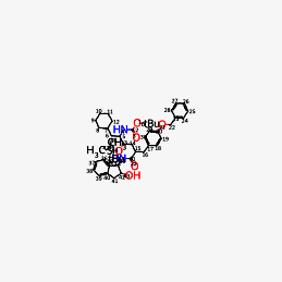 CC(C)(C)OC(=O)NC(CC1CCCCC1)C(CC(Cc1ccc(OCc2ccccc2)cc1)C(=O)N[C@H]1c2ccccc2C[C@@H]1O)O[Si](C)(C)C(C)(C)C